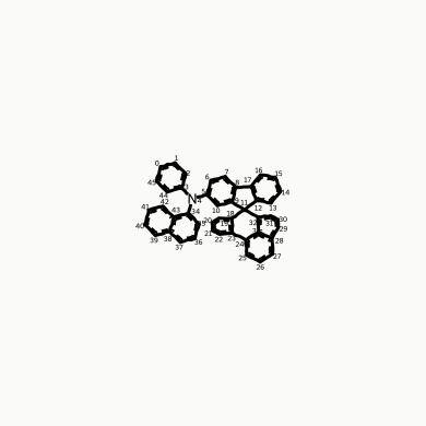 c1ccc(N(c2ccc3c(c2)C2(c4ccccc4-3)c3ccccc3-c3cccc4cccc2c34)c2cccc3ccccc23)cc1